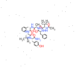 CC(=O)N[C@H](C(=O)N[C@@H](Cc1ccccc1)C(=O)N[C@@H](C)C(=O)N[C@@H](Cc1ccccc1)C(=O)N[C@@H](CC(C)C)C(=O)N[C@@H](Cc1ccc(O)cc1)C(N)=O)C(C)C